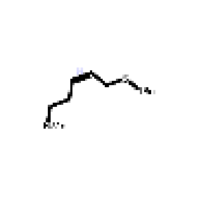 CNCC/C=C\CSC(C)(C)C